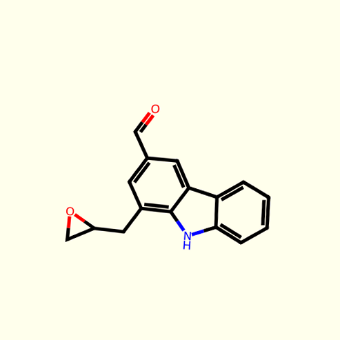 O=Cc1cc(CC2CO2)c2[nH]c3ccccc3c2c1